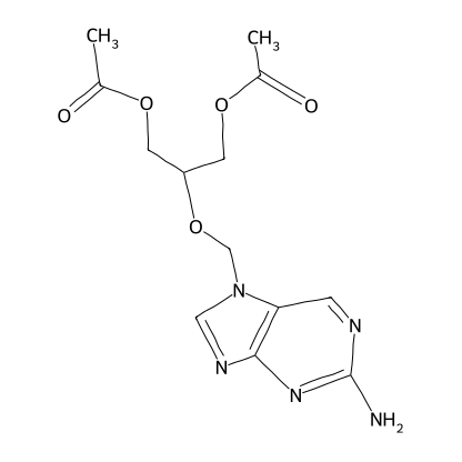 CC(=O)OCC(COC(C)=O)OCn1cnc2nc(N)ncc21